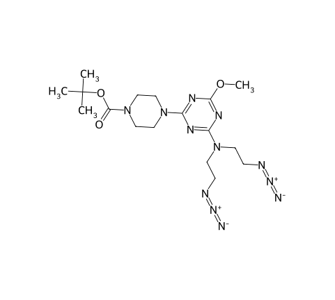 COc1nc(N(CCN=[N+]=[N-])CCN=[N+]=[N-])nc(N2CCN(C(=O)OC(C)(C)C)CC2)n1